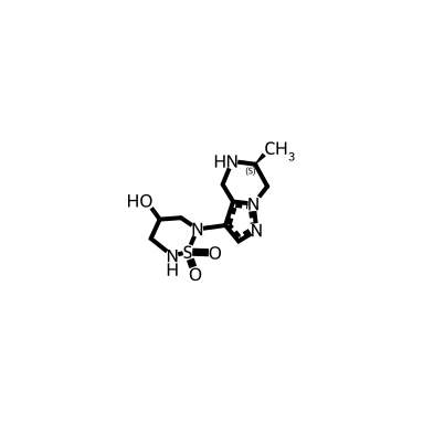 C[C@H]1Cn2ncc(N3CC(O)CNS3(=O)=O)c2CN1